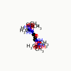 COC(=O)N[C@H](C(=O)N1[C@H](c2ncc(-c3ccc4c(c3)COc3cc5c(ccc6nc([C@H]7C[C@@H](C)[C@@H](C)N7C(=O)[C@@H](NC(=O)O)C7C[C@@H](C)O[C@H](C)C7)[nH]c65)cc3-4)[nH]2)C[C@H](C)[C@@H]1C)C1C[C@@H](C)O[C@H](C)C1